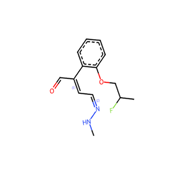 CN/N=C\C=C(\C=O)c1ccccc1OCC(C)F